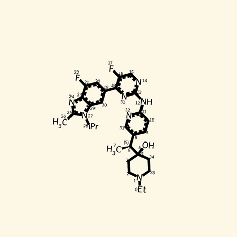 CCN1CCC(O)([C@@H](C)c2ccc(Nc3ncc(F)c(-c4cc(F)c5nc(C)n(C(C)C)c5c4)n3)nc2)CC1